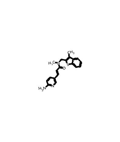 Cc1c(CN(C)C(=O)/C=C/c2ccc(N)nc2)sc2ccccc12